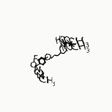 CN1CCN(C(=O)c2ccc(OCCCC3CCN(C(=O)OC(C)(C)C)CC3)cc2F)CC1